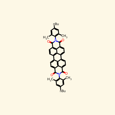 CCCCc1cc(C)c(N2C(=O)c3ccc4c5ccc6c7c(ccc(c8ccc(c3c48)C2=O)c75)C(=O)N(c2c(C)cc(CCCC)cc2C)C6=O)c(C)c1